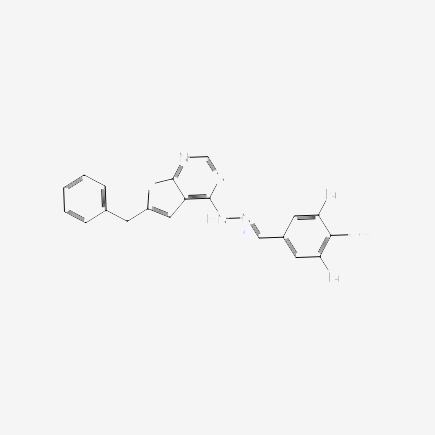 Oc1c(Br)cc(/C=N/Nc2ncnc3sc(Cc4ccccc4)cc23)cc1Br